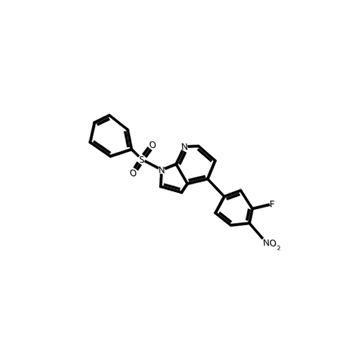 O=[N+]([O-])c1ccc(-c2ccnc3c2ccn3S(=O)(=O)c2ccccc2)cc1F